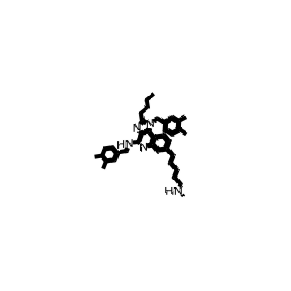 CCCCc1nc2c(NCc3ccc(C)c(C)c3)nc3cc(CCCCCNC)ccc3c2n1Cc1ccc(C)c(C)c1